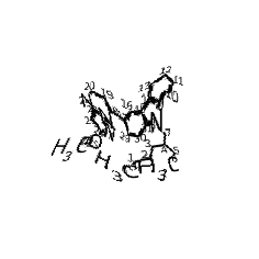 CCCCC(CC)Cn1c2ccccc2c2cc(-c3ccnc4cc(OC)nn34)ccc21